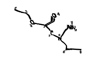 CCOC(=O)CN(N)CC